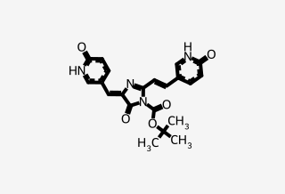 CC(C)(C)OC(=O)N1C(=O)/C(=C/c2ccc(=O)[nH]c2)N=C1/C=C/c1ccc(=O)[nH]c1